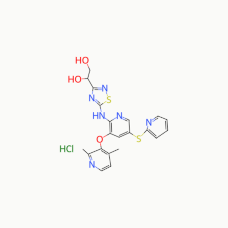 Cc1ccnc(C)c1Oc1cc(Sc2ccccn2)cnc1Nc1nc(C(O)CO)ns1.Cl